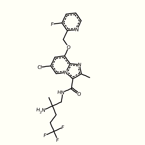 Cc1nc2c(OCc3ncccc3F)cc(Cl)cn2c1C(=O)NCC(C)(N)CCC(F)(F)F